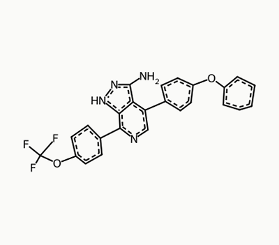 Nc1n[nH]c2c(-c3ccc(OC(F)(F)F)cc3)ncc(-c3ccc(Oc4ccccc4)cc3)c12